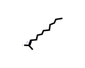 [CH2]/C(C)=C/CCCCCCCCC